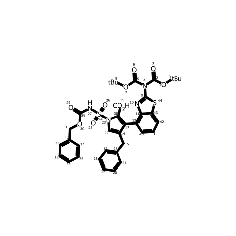 CC(C)(C)OC(=O)N(C(=O)OC(C)(C)C)c1nc2c(-c3c(Cc4ccccc4)cn(S(=O)(=O)NC(=O)OCc4ccccc4)c3C(=O)O)cccc2s1